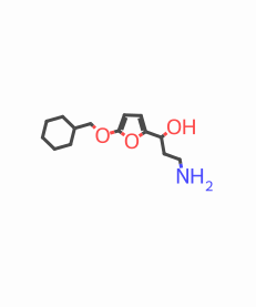 NCCC(O)c1ccc(OCC2CCCCC2)o1